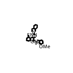 COc1cccc(CN(C(=O)c2cnc(N3CCC4=C(CCC=C4)C3)nc2-c2ccccc2F)C(C)C)c1